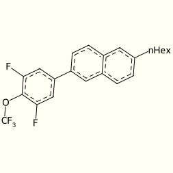 CCCCCCc1ccc2cc(-c3cc(F)c(OC(F)(F)F)c(F)c3)ccc2c1